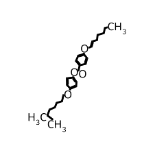 CCCCCC=COc1ccc(C(=O)Oc2ccc(OCCCCCC(C)CC)cc2)cc1